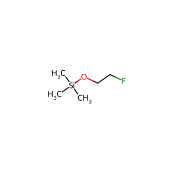 C[Si](C)(C)O[CH]CF